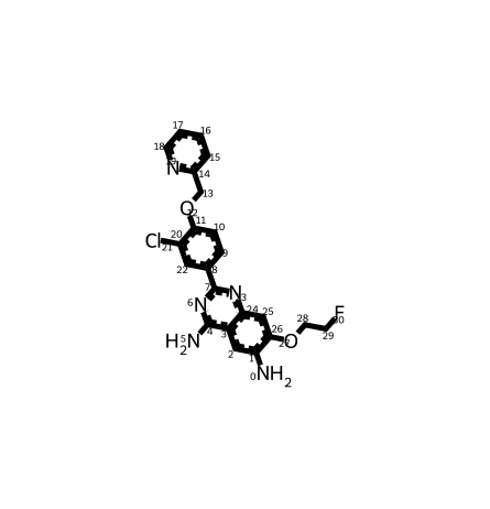 Nc1cc2c(N)nc(-c3ccc(OCc4ccccn4)c(Cl)c3)nc2cc1OCCF